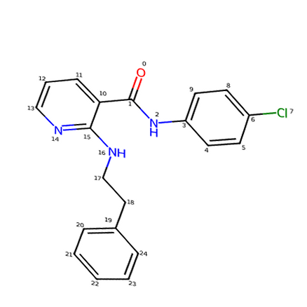 O=C(Nc1ccc(Cl)cc1)c1cccnc1NCCc1ccccc1